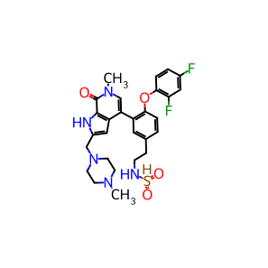 CN1CCN(Cc2cc3c(-c4cc(CCN[SH](=O)=O)ccc4Oc4ccc(F)cc4F)cn(C)c(=O)c3[nH]2)CC1